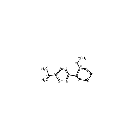 C=C(C)c1ccc(-c2ccccc2CC)cc1